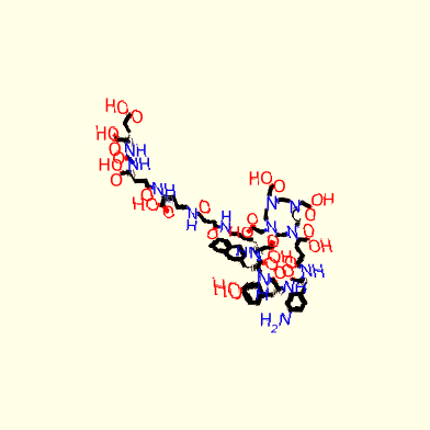 Nc1ccc(C[C@@H](NC(=O)CCC(C(=O)O)N2CCN(CC(=O)O)CCN(CC(=O)O)CCN(CC(=O)O)CC2)C(=O)N[C@H](Cc2ccc(O)cc2)C(=O)N[C@H](Cc2ccc3ccccc3c2)C(=O)N[C@H](CCCCNC(=O)CCC(=O)NCC/C=C(/NC(=O)CC[C@H](NC(=O)N[C@@H](CCC(=O)O)C(=O)O)C(=O)O)C(=O)O)C(=O)O)cc1